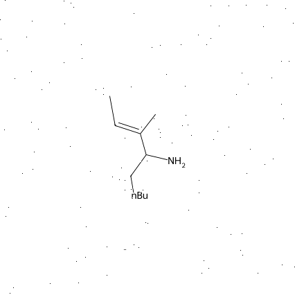 CC=C(C)C(N)CCCCC